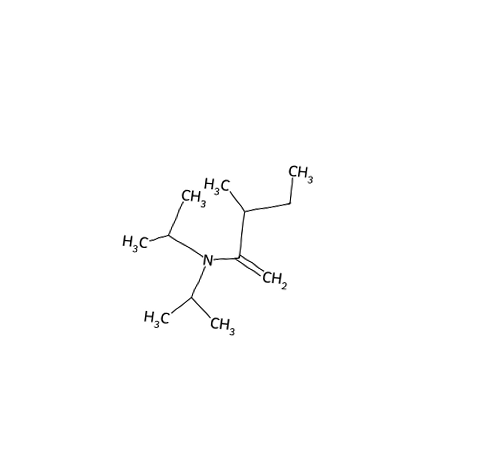 C=C(C(C)CC)N(C(C)C)C(C)C